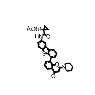 CC(=O)NC1(C(=O)Nc2ccc3sc4c(-c5cccc6c(=O)cc(N7CCCCC7)oc56)cccc4c3c2)CC1